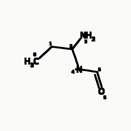 CCC(N)[N]C=O